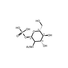 CC(=O)NC1[C@@H](OP(=O)(O)O)O[C@H](CO)[C@@H](O)[C@@H]1O